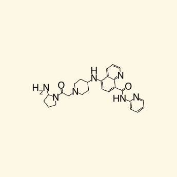 N[C@@H]1CCCN1C(=O)CN1CCC(Nc2ccc(C(=O)Nc3ccccn3)c3ncccc23)CC1